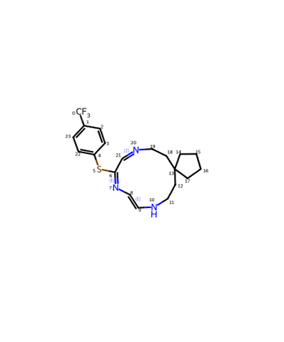 FC(F)(F)c1ccc(SC2=N/C=C/NCCC3(CCCC3)CC/N=C\2)cc1